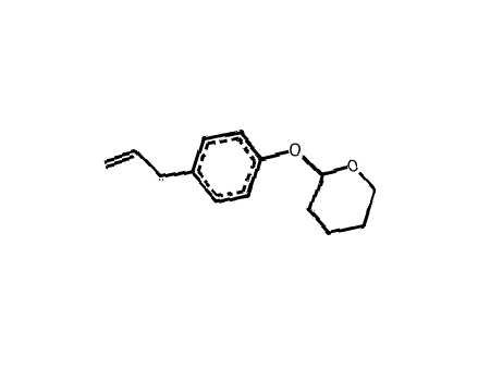 C=C[C]c1ccc(OC2CCCCO2)cc1